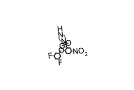 O=[N+]([O-])c1ccc(Oc2cc(F)cc(F)c2)c(S(=O)(=O)N2CCNCC2)c1